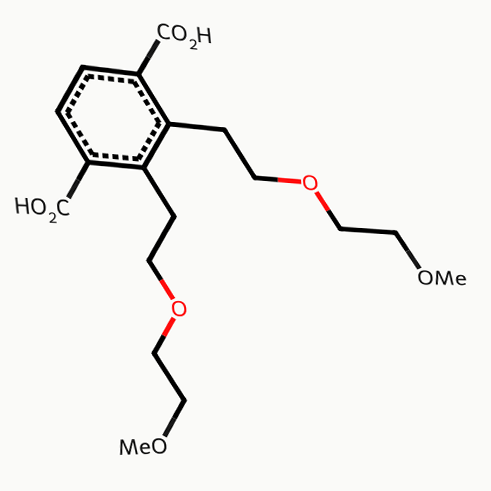 COCCOCCc1c(C(=O)O)ccc(C(=O)O)c1CCOCCOC